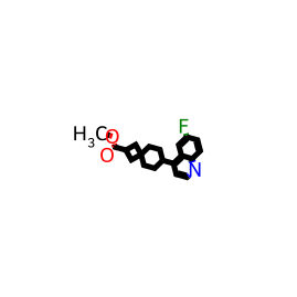 COC(=O)C1CC2(CCC(c3ccnc4ccc(F)cc34)CC2)C1